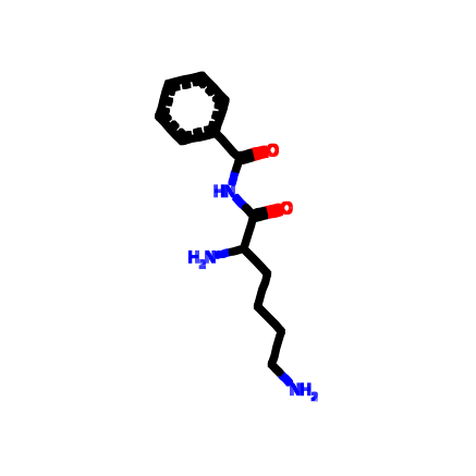 NCCCCC(N)C(=O)NC(=O)c1ccccc1